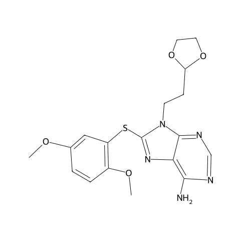 COc1ccc(OC)c(Sc2nc3c(N)ncnc3n2CCC2OCCO2)c1